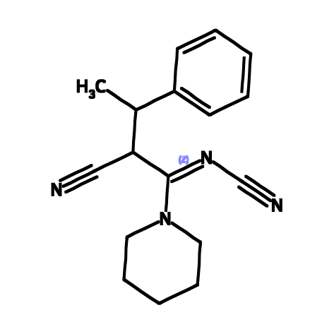 CC(c1ccccc1)C(C#N)/C(=N/C#N)N1CCCCC1